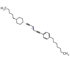 CCCCCCCc1ccc(C#C/C=C/C#C[C@H]2CC[C@H](CCCCC)CC2)cc1